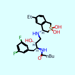 CCCCC(=O)N[C@@H](Cc1cc(F)cc(F)c1)[C@H](O)CN[C@H]1CS(O)(O)Cc2ccc(CC)cc21